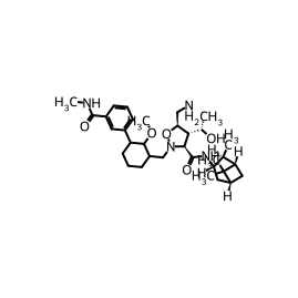 CNC(=O)c1cccc(C2CCCC(CN3O[C@@H](CN)[C@H]([C@H](C)O)[C@H]3C(=O)N[C@H]3C[C@H]4C[C@@H]([C@@H]3C)C4(C)C)C2OC)c1